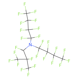 F[C](N(C(F)(F)C(F)(F)C(F)(F)C(F)(F)F)C(F)(F)C(F)(F)C(F)(F)C(F)(F)F)C(F)(C(F)(F)F)C(F)(F)F